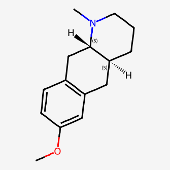 COc1ccc2c(c1)C[C@@H]1CCCN(C)[C@H]1C2